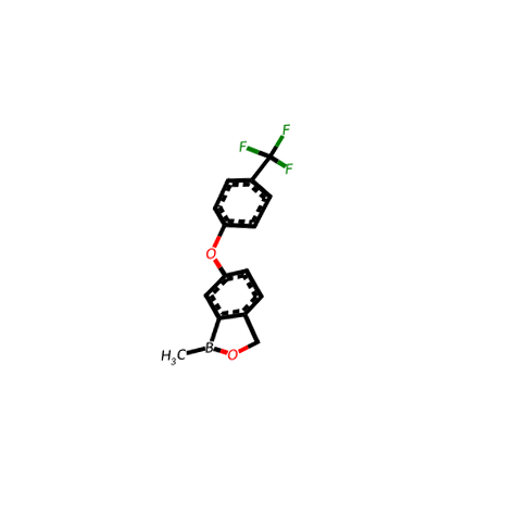 CB1OCc2ccc(Oc3ccc(C(F)(F)F)cc3)cc21